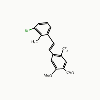 COc1cc(C=Cc2cccc(Br)c2C)c(C(F)(F)F)cc1C=O